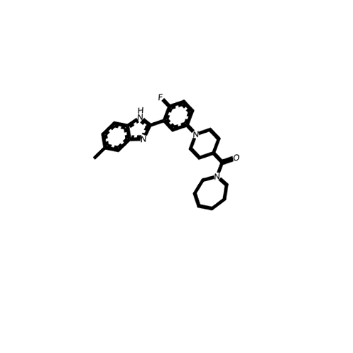 Cc1ccc2[nH]c(-c3cc(N4CCC(C(=O)N5CCCCCC5)CC4)ccc3F)nc2c1